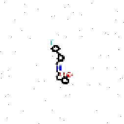 COc1cccc2c1OC(CNCc1cccc(-c3ccc(F)cc3)c1)CC2